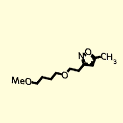 COCCCCOCCc1cc(C)on1